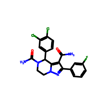 NC(=O)c1c(-c2cccc(F)c2)nn2c1C(c1ccc(Cl)c(Cl)c1)N(C(N)=O)CC2